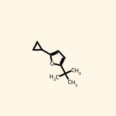 CC(C)(C)c1ccc(C2CC2)o1